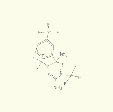 NC1=CC(C(F)(F)F)C(N)(c2cccc(C(F)(F)F)c2)C=C1C(F)(F)F